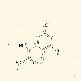 N#CC(C(=O)C(F)(F)F)c1cc(Cl)cc(Cl)c1Cl